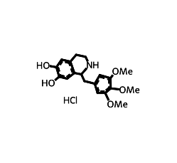 COc1cc(CC2NCCc3cc(O)c(O)cc32)cc(OC)c1OC.Cl